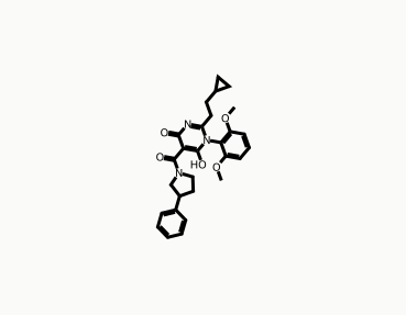 COc1cccc(OC)c1-n1c(CCC2CC2)nc(=O)c(C(=O)N2CCC(c3ccccc3)C2)c1O